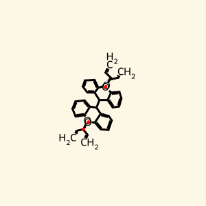 C=CCOc1ccccc1C(c1ccccc1OCC=C)C(c1ccccc1OCC=C)c1ccccc1OCC=C